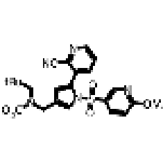 COc1ccc(S(=O)(=O)n2cc(CN(CC(C)(C)C)C(=O)O)cc2-c2cccnc2C#N)cn1